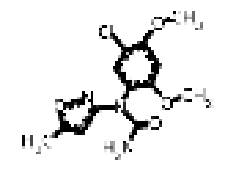 COc1cc(OC)c(N(C(N)=O)c2cc(C)on2)cc1Cl